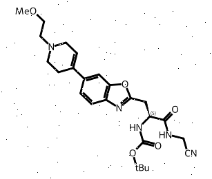 COCCN1CC=C(c2ccc3nc(C[C@H](NC(=O)OC(C)(C)C)C(=O)NCC#N)oc3c2)CC1